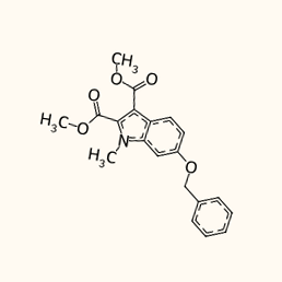 COC(=O)c1c(C(=O)OC)n(C)c2cc(OCc3ccccc3)ccc12